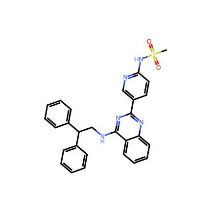 CS(=O)(=O)Nc1ccc(-c2nc(NCC(c3ccccc3)c3ccccc3)c3ccccc3n2)cn1